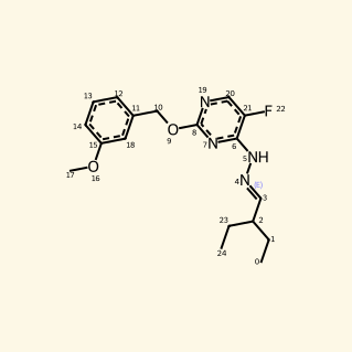 CCC(/C=N/Nc1nc(OCc2cccc(OC)c2)ncc1F)CC